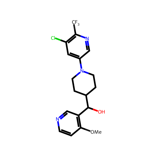 COc1ccncc1C(O)C1CCN(c2cnc(C(F)(F)F)c(Cl)c2)CC1